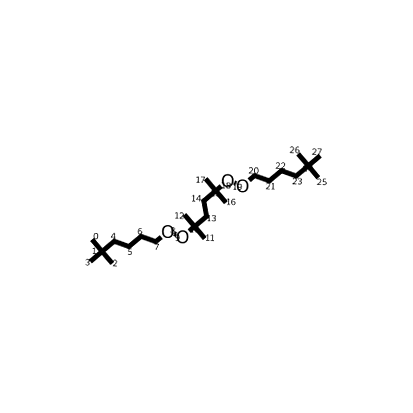 CC(C)(C)CCCCOOC(C)(C)CCC(C)(C)OOCCCCC(C)(C)C